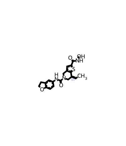 C/C=C1/CN(C(=O)Nc2ccc3c(c2)CCO3)Cc2cc(C(=O)NO)sc21